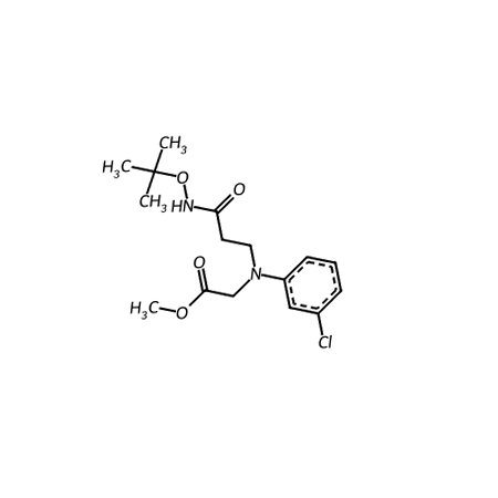 COC(=O)CN(CCC(=O)NOC(C)(C)C)c1cccc(Cl)c1